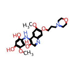 COc1cc(Nc2c(O)cnc3cc(OCCCN4CCOCC4)c(OC)cc23)c(O)cc1O